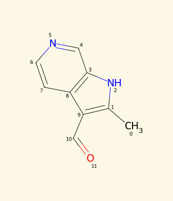 Cc1[nH]c2cnccc2c1C=O